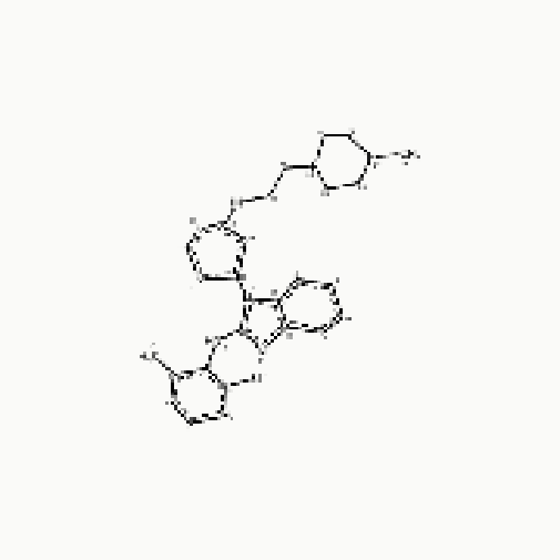 Cc1cccc(Cl)c1Nc1nc2ccccc2n1-c1cc(NCCN2CCN(C)CC2)ncn1